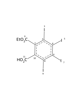 CCOC(=O)c1c(I)c(I)c(I)c(I)c1C(=O)O